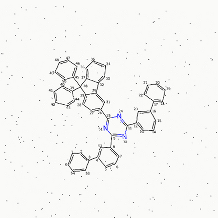 c1ccc(-c2cccc(-c3nc(-c4cccc(-c5ccccc5)c4)nc(-c4ccc5c(c4)-c4ccccc4C5(c4ccccc4)c4ccccc4)n3)c2)cc1